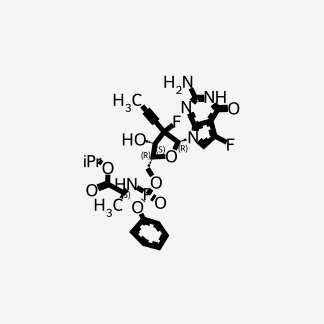 CC#CC1(F)[C@@H](O)[C@@H](COP(=O)(N[C@@H](C)C(=O)OC(C)C)Oc2ccccc2)O[C@H]1n1cc(F)c2c(=O)[nH]c(N)nc21